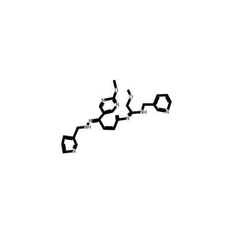 C=C(/C=C\C(=N/NCc1cccnc1)c1cnc(OC)nc1)/N=C(\COC)NCc1cccnc1